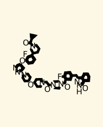 O=C(CN1CCC(OC2CCN(c3cc(Oc4cccc(C5CCCN(C(=O)C6CC6)C5)c4F)cnn3)CC2)CC1)N1CCN(C(=O)c2cc(Cc3n[nH]c(=O)c4ccccc34)ccc2F)CC1